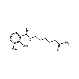 CC(=O)Oc1cccc(C(=O)NCCCCCC(N)=O)c1OC(C)=O